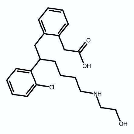 O=C(O)Cc1ccccc1CC(CCCCNCCO)c1ccccc1Cl